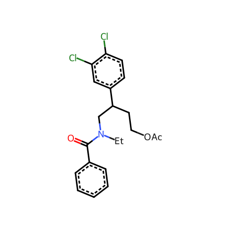 CCN(CC(CCOC(C)=O)c1ccc(Cl)c(Cl)c1)C(=O)c1ccccc1